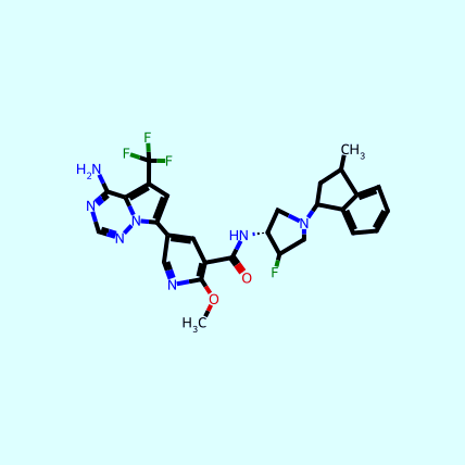 COc1ncc(-c2cc(C(F)(F)F)c3c(N)ncnn23)cc1C(=O)N[C@@H]1CN(C2CC(C)c3ccccc32)CC1F